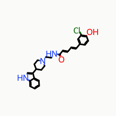 O=C(/C=C/C=C/c1ccc(O)c(Cl)c1)NCCN1CCC(c2c[nH]c3ccccc23)CC1